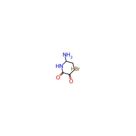 Br.NC1CCC(=O)C(=O)N1